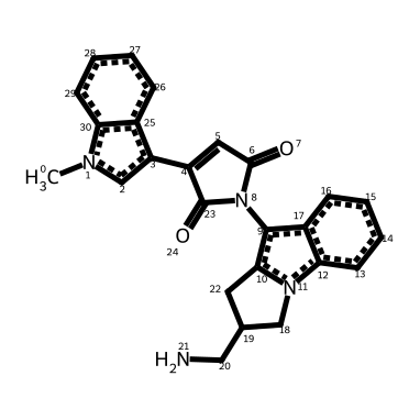 Cn1cc(C2=CC(=O)N(c3c4n(c5ccccc35)CC(CN)C4)C2=O)c2ccccc21